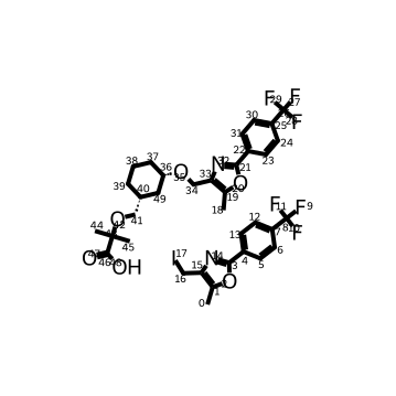 Cc1oc(-c2ccc(C(F)(F)F)cc2)nc1CI.Cc1oc(-c2ccc(C(F)(F)F)cc2)nc1CO[C@H]1CCC[C@@H](COC(C)(C)C(=O)O)C1